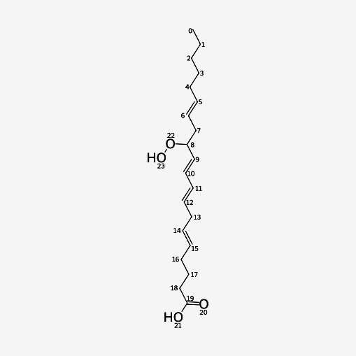 CCCCCC=CCC(C=CC=CCC=CCCCC(=O)O)OO